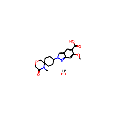 COc1cc2nn(C3CCC4(CC3)COCC(=O)N4C)cc2cc1C(=O)O.[Li+].[OH-]